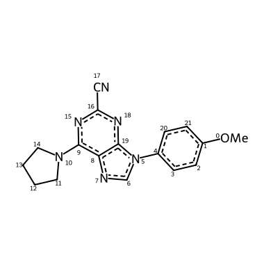 COc1ccc(-n2cnc3c(N4CCCC4)nc(C#N)nc32)cc1